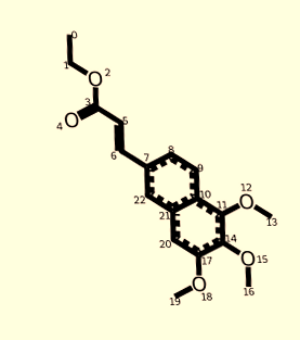 CCOC(=O)/C=C/c1ccc2c(OC)c(OC)c(OC)cc2c1